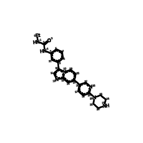 CCNC(=O)Nc1cccc(-c2cnc3cc(-c4ccc(N5CCNCC5)nc4)ccn23)c1